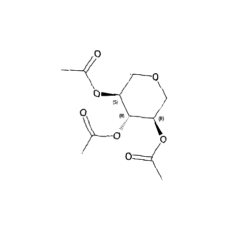 CC(=O)O[C@@H]1[C@@H](OC(C)=O)[CH]OC[C@H]1OC(C)=O